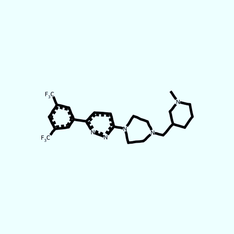 CN1CCCC(CN2CCN(c3ccc(-c4cc(C(F)(F)F)cc(C(F)(F)F)c4)nn3)CC2)C1